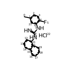 Cc1ccc(F)c(NC(=N)Nc2cccc3ccccc23)c1.Cl